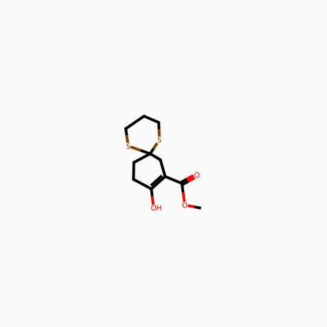 COC(=O)C1=C(O)CCC2(C1)SCCCS2